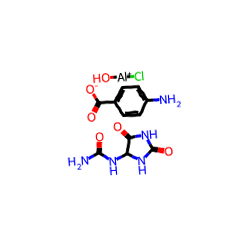 NC(=O)NC1NC(=O)NC1=O.Nc1ccc(C(=O)[O-])cc1.[OH][Al+][Cl]